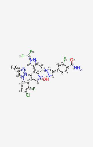 NC(=O)c1ccc(-c2cnn([C@H](Cc3ccn(C(F)F)n3)c3ccc(-c4c(-n5cc(C(F)(F)F)nn5)ccc(Cl)c4F)c[n+]3O)c2)cc1F